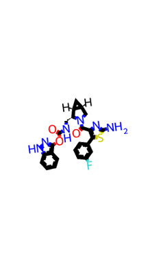 Nc1nc(C(=O)N2C[C@@H]3C[C@@H]3[C@H]2CNC(=O)Oc2n[nH]c3ccccc23)c(-c2cccc(F)c2)s1